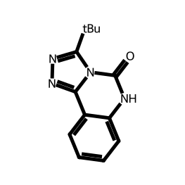 CC(C)(C)c1nnc2c3ccccc3[nH]c(=O)n12